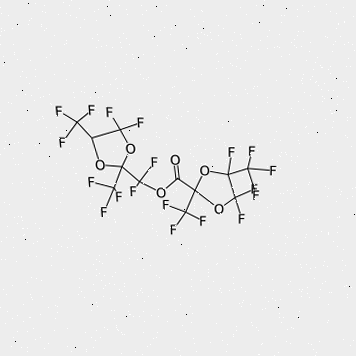 O=C(OC(F)(F)C1(C(F)(F)F)OC(C(F)(F)F)C(F)(F)O1)C1(C(F)(F)F)OC(F)(F)C(F)(C(F)(F)F)O1